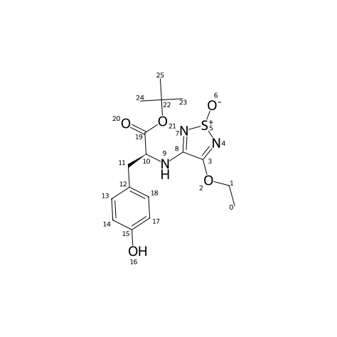 CCOc1n[s+]([O-])nc1N[C@@H](Cc1ccc(O)cc1)C(=O)OC(C)(C)C